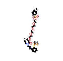 C#CCN(C/C=C/c1ccccc1SPC)C(=O)COCCOCCOCCOCCOS(=O)(=O)c1ccc(C)cc1